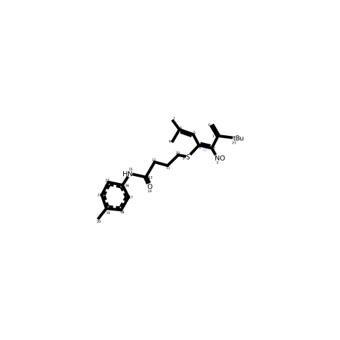 C=C(/C(N=O)=C(\C=C(C)C)SCCCC(=O)Nc1ccc(C)cc1)C(C)(C)C